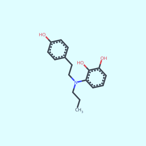 CCCN(CCc1ccc(O)cc1)c1cccc(O)c1O